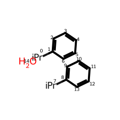 CC(C)c1ccccc1.CC(C)c1ccccc1.O